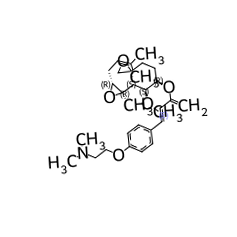 C=C(/C=C/c1ccc(OCCN(C)C)cc1)O[C@@H]1CCC2(CO2)[C@@H]([C@@]2(C)O[C@@H]2CC=C(C)C)[C@@H]1OC